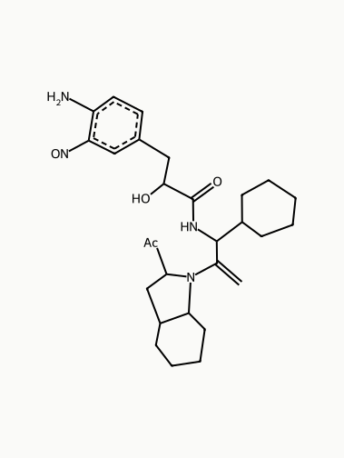 C=C(C(NC(=O)C(O)Cc1ccc(N)c(N=O)c1)C1CCCCC1)N1C(C(C)=O)CC2CCCCC21